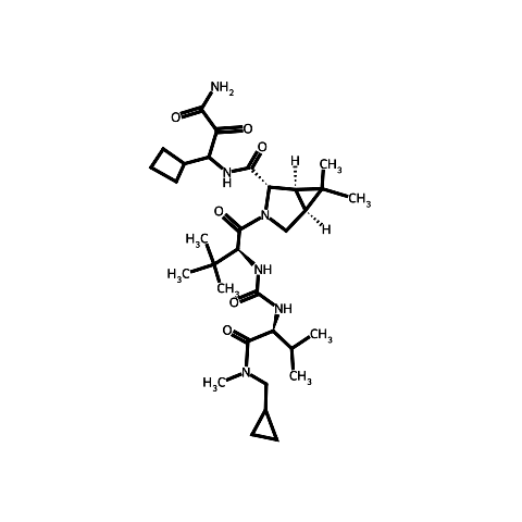 CC(C)[C@H](NC(=O)N[C@H](C(=O)N1C[C@H]2[C@@H]([C@H]1C(=O)NC(C(=O)C(N)=O)C1CCC1)C2(C)C)C(C)(C)C)C(=O)N(C)CC1CC1